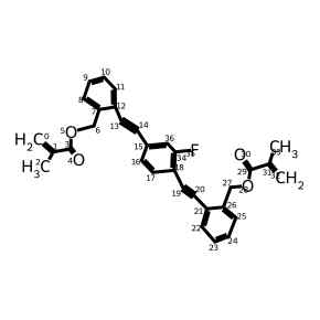 C=C(C)C(=O)OCc1ccccc1C#Cc1ccc(C#Cc2ccccc2COC(=O)C(=C)C)c(F)c1